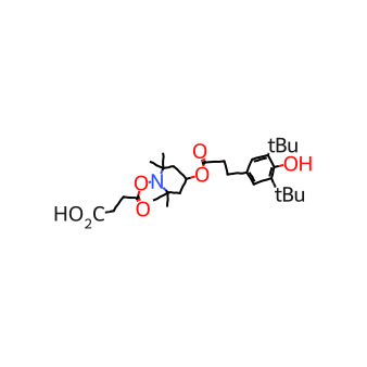 CC(C)(C)c1cc(CCC(=O)OC2CC(C)(C)N(OC(=O)CCC(=O)O)C(C)(C)C2)cc(C(C)(C)C)c1O